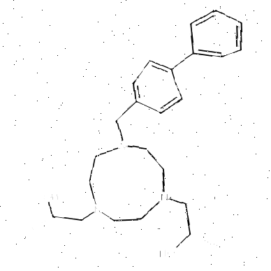 C[C@H](O)CN1CCN(Cc2ccc(-c3ccccc3)cc2)CCN(C[C@H](C)O)CC1